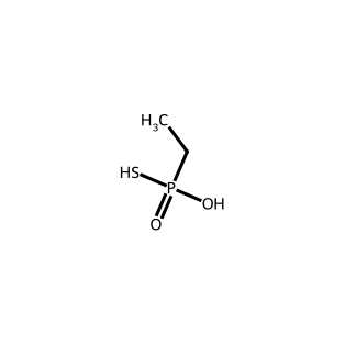 CCP(=O)(O)S